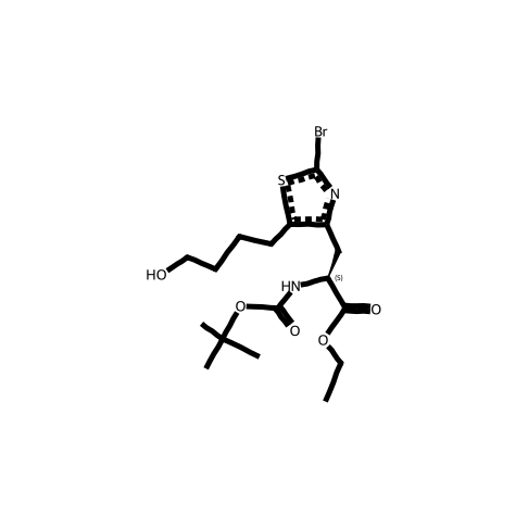 CCOC(=O)[C@H](Cc1nc(Br)sc1CCCCO)NC(=O)OC(C)(C)C